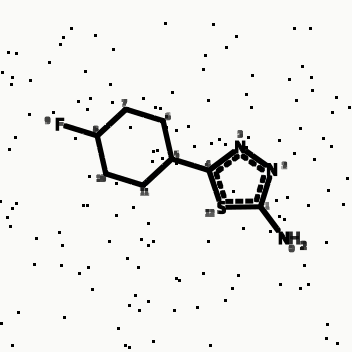 Nc1nnc(C2CCC(F)CC2)s1